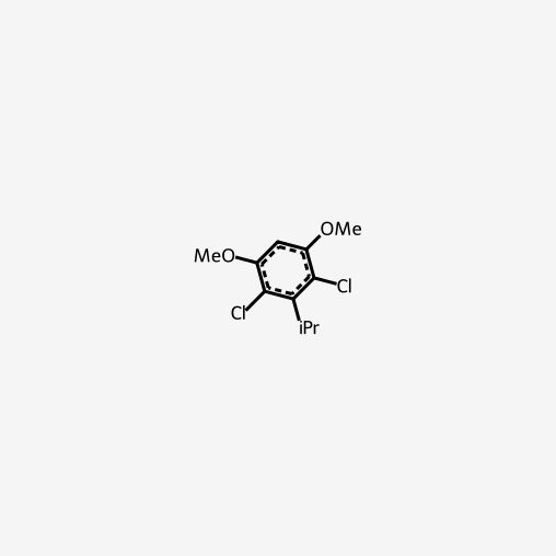 COc1cc(OC)c(Cl)c(C(C)C)c1Cl